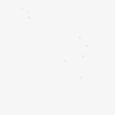 N#CC1=C(c2ccc(OCCOC(=O)CNN=N)cc2)C(C=N)=C(N2CCCC2)NC1SCc1csc(-c2ccc(Cl)cc2)n1